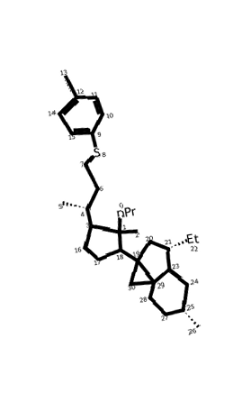 CCCC1(C)C([C@H](C)CCSc2ccc(C)cc2)CCC1C12C[C@H](CC)C3C[C@H](C)CCC31C2